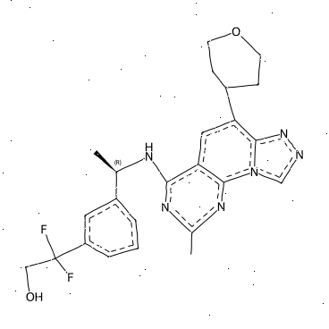 Cc1nc(N[C@H](C)c2cccc(C(F)(F)CO)c2)c2cc(C3CCOCC3)c3nncn3c2n1